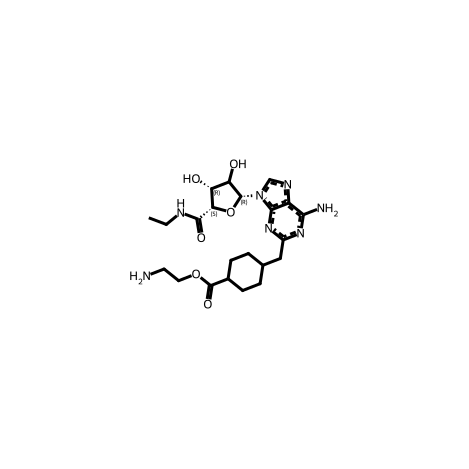 CCNC(=O)[C@H]1O[C@@H](n2cnc3c(N)nc(CC4CCC(C(=O)OCCN)CC4)nc32)C(O)[C@H]1O